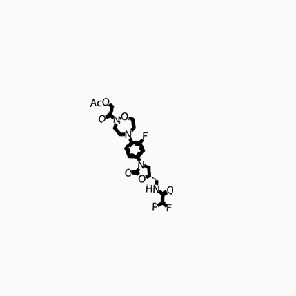 CC(=O)OCC(=O)N1CCN(c2ccc(N3C[C@H](CNC(=O)C(F)F)OC3=O)cc2F)CCO1